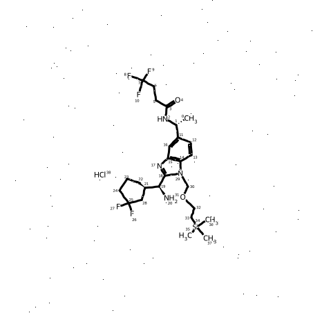 C[C@@H](NC(=O)CCC(F)(F)F)c1ccc2c(c1)nc([C@@H](N)[C@@H]1CCCC(F)(F)C1)n2COCC[Si](C)(C)C.Cl